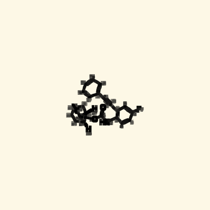 O=C(Nc1ccc(F)cc1C#Cc1ccccc1)O[C@H]1C[N@]2CC[C@H]1CC2